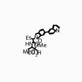 CCC(C(=O)NC(CC(=O)O)C(CF)(OC)OC)N1Cc2ccc(-c3ccc4ncccc4c3)cc2C1=O